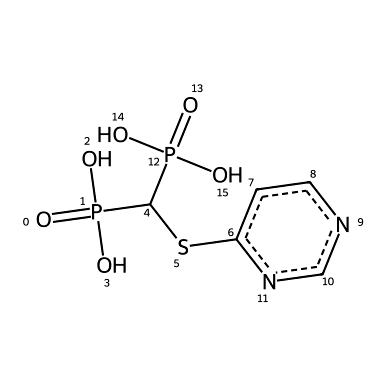 O=P(O)(O)C(Sc1ccncn1)P(=O)(O)O